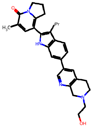 Cc1cc(-c2[nH]c3cc(-c4cnc5c(c4)CCN(CCO)C5)ccc3c2C(C)C)c2n(c1=O)CCC2